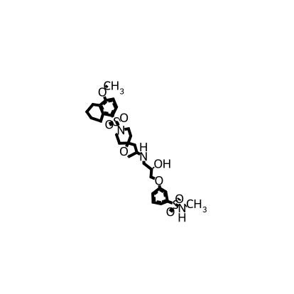 CNS(=O)(=O)c1cccc(OC[C@@H](O)CNC2COC3(CCN(S(=O)(=O)c4ccc(OC)c5c4CCCC5)CC3)C2)c1